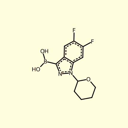 OB(O)c1nn(C2CCCCO2)c2cc(F)c(F)cc12